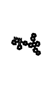 c1ccc(-n2c(-c3ccc(-c4ccc5c(-c6ccc7ccccc7c6)c6ccccc6c(-c6ccc7ccccc7c6)c5c4)cc3)nc3cnc4ccccc4c32)cc1